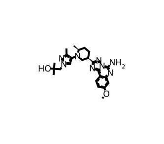 COc1ccc2c(c1)nc(N)n1nc([C@@H]3CC[C@H](C)N(c4cn(CC(C)(C)O)nc4C)C3)nc21